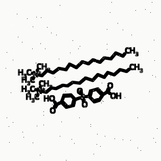 CCCCCCCCCCCCCCCC[N+](C)(C)C.CCCCCCCCCCCCCCCC[N+](C)(C)C.O=C(O)c1ccc(S(=O)(=O)c2ccc(C(=O)O)cc2)cc1